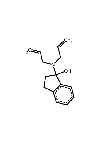 C=CCN(CC=C)C1(O)CCc2ccccc21